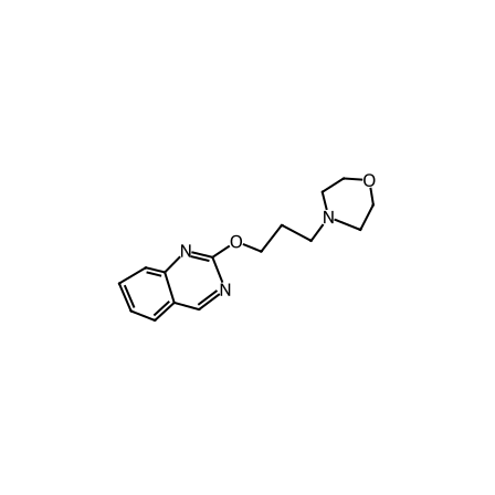 c1ccc2nc(OCCCN3CCOCC3)ncc2c1